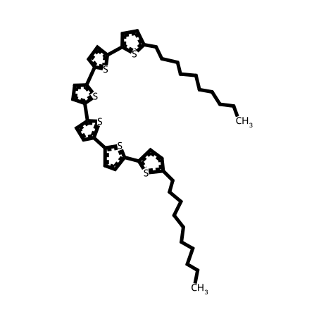 CCCCCCCCCCc1ccc(-c2ccc(-c3ccc(-c4ccc(-c5ccc(-c6ccc(CCCCCCCCCC)s6)s5)s4)s3)s2)s1